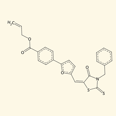 C=CCOC(=O)c1ccc(-c2ccc(/C=C3/SC(=S)N(Cc4ccccc4)C3=O)o2)cc1